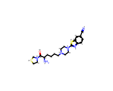 N#Cc1ccc2nc(N3CCN(CCCCC(N)C(=O)N4CCSC4)CC3)sc2c1